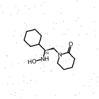 O=C1CCCCN1C[C@@H](NO)C1CCCCC1